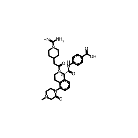 CN1CCN(c2cccc3c2CCN(C(=O)CC2CCN(C(=N)N)CC2)[C@@H]3C(=O)Nc2ccc(C(=O)O)cc2)C(=O)C1